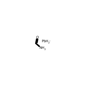 NC=O.[PbH2]